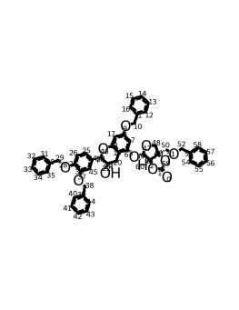 O=C1O[C@H]2[C@H](Oc3cc(OCc4ccccc4)cc4c3C[C@@H](O)[C@@H](c3ccc(OCc5ccccc5)c(OCc5ccccc5)c3)O4)OC[C@@]2(COCc2ccccc2)O1